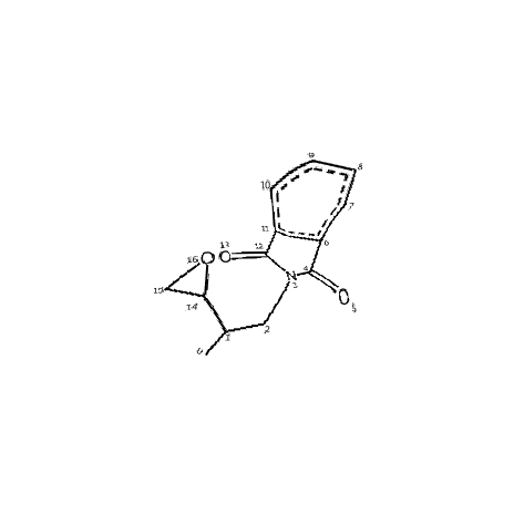 CC(CN1C(=O)c2ccccc2C1=O)C1CO1